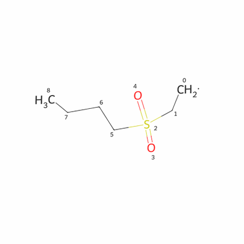 [CH2]CS(=O)(=O)CCCC